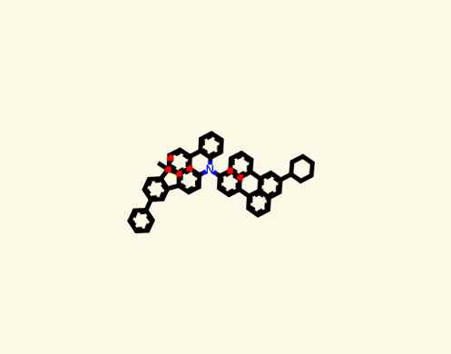 CC1(C)c2ccc(-c3ccccc3)cc2-c2ccc(N(c3ccc(-c4cccc5cc(C6CCCCC6)cc(-c6ccccc6)c45)cc3)c3ccccc3-c3ccccc3)cc21